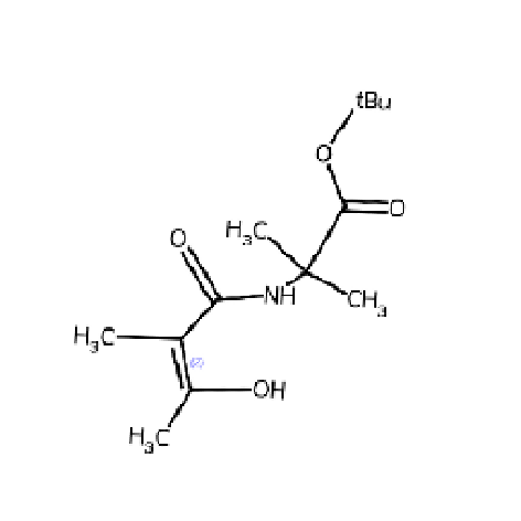 C/C(O)=C(\C)C(=O)NC(C)(C)C(=O)OC(C)(C)C